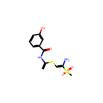 C=C(NC(=O)c1cccc(O)c1)S/C=C(\N)S(C)(=O)=O